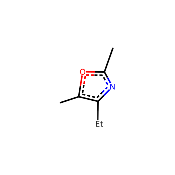 [CH2]Cc1nc(C)oc1C